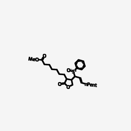 CCCCC/C=C/C(C1COC(=O)C1CCCCCCC(=O)OC)[S+]([O-])c1ccccc1